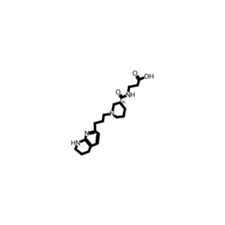 O=C(O)CCNC(=O)[C@@H]1CCCN(CCCc2ccc3c(n2)NCCC3)C1